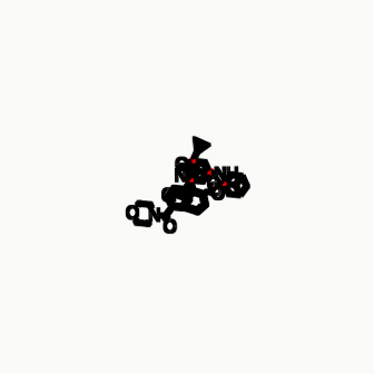 O=C(Nc1cccc(-c2ccc(C(=O)N3CCOCC3)cc2)c1)C1C2CC(OCc3c(-c4c(Cl)cccc4Cl)noc3C3CC3)CC1C2